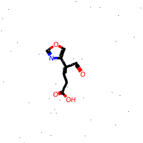 O=CC(=CCC(=O)O)c1cocn1